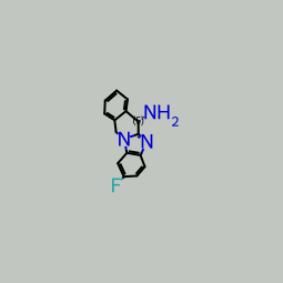 N[C@H]1c2ccccc2Cn2c1nc1ccc(F)cc12